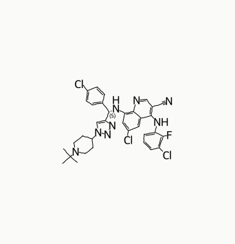 CC(C)(C)N1CCC(n2cc([C@@H](Nc3cc(Cl)cc4c(Nc5cccc(Cl)c5F)c(C#N)cnc34)c3ccc(Cl)cc3)nn2)CC1